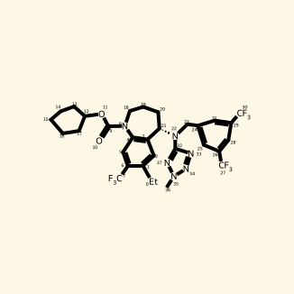 CCc1cc2c(cc1C(F)(F)F)N(C(=O)OC1CCCCC1)CCC[C@@H]2N(Cc1cc(C(F)(F)F)cc(C(F)(F)F)c1)c1nnn(C)n1